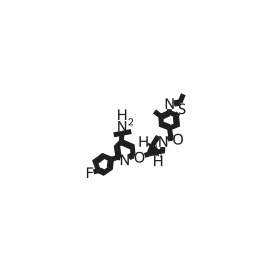 Cc1nc2c(C)cc(C(=O)N3C[C@@H]4C(Oc5cc(C(C)(C)N)cc(-c6ccc(F)cc6)n5)[C@@H]4C3)cc2s1